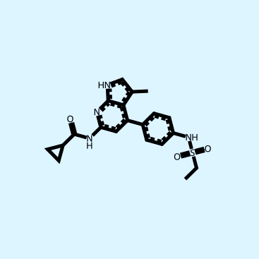 CCS(=O)(=O)Nc1ccc(-c2cc(NC(=O)C3CC3)nc3[nH]cc(C)c23)cc1